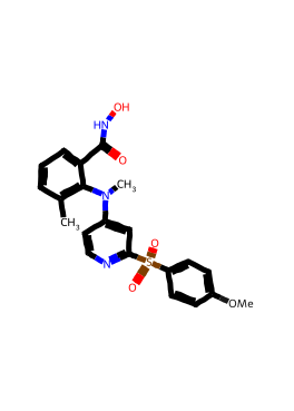 COc1ccc(S(=O)(=O)c2cc(N(C)c3c(C)cccc3C(=O)NO)ccn2)cc1